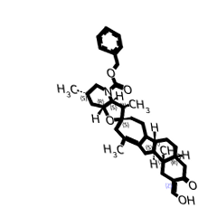 CC1=C2C[C@H]3[C@@H](CC[C@@H]4CC(=O)/C(=C\O)C[C@@]43C)C2CC[C@@]2(C1)O[C@@H]1C[C@H](C)CN(C(=O)OCc3ccccc3)[C@H]1[C@H]2C